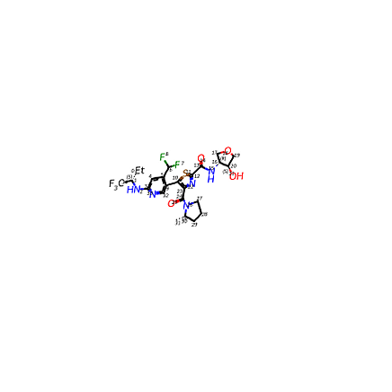 CC[C@H](Nc1cc(C(F)F)c(-c2sc(C(=O)N[C@@H]3COC[C@H]3O)nc2C(=O)N2CCC[C@@H]2C)cn1)C(F)(F)F